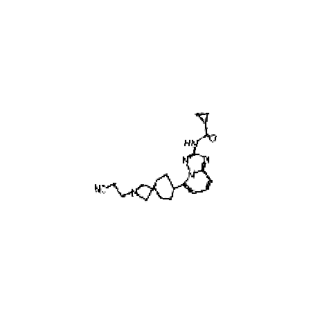 N#CCCN1CC2(CCC(c3cccc4nc(NC(=O)C5CC5)nn34)CC2)C1